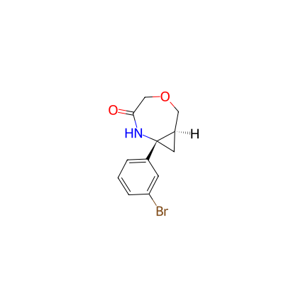 O=C1COC[C@H]2C[C@]2(c2cccc(Br)c2)N1